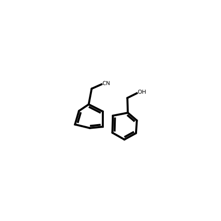 N#CCc1ccccc1.OCc1ccccc1